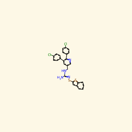 N/C(=N\Sc1cc2ccccc2s1)NCc1cnc(-c2ccc(Cl)cc2)c(-c2ccc(Cl)cc2)c1